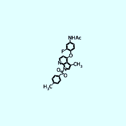 CC(=O)Nc1ccc(Oc2ccnc3c2c(C)cn3S(=O)(=O)c2ccc(C)cc2)c(F)c1